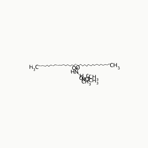 CCCCCCCCCCCCCCCCCCC(CCCCCCCCCCCCCCCCCC)OC(=O)NCCCON(C)COC(C)(C)C